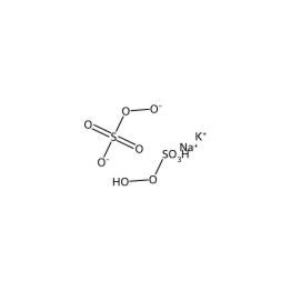 O=S(=O)(O)OO.O=S(=O)([O-])O[O-].[K+].[Na+]